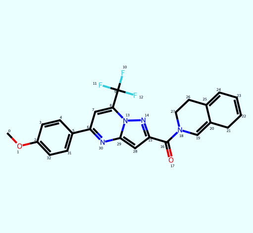 COc1ccc(-c2cc(C(F)(F)F)n3nc(C(=O)N4C=C5CC=CC=C5CC4)cc3n2)cc1